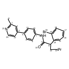 Cc1cc(-c2ccc(NC(=O)C(CC(C)C)c3ccccc3Br)cc2)ccn1